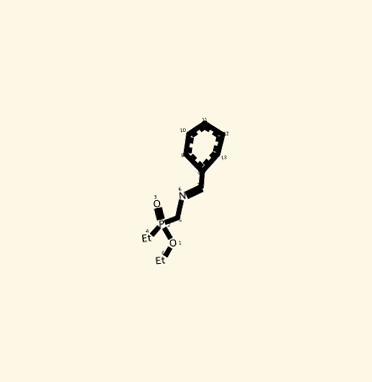 CCOP(=O)(CC)CN=Cc1ccccc1